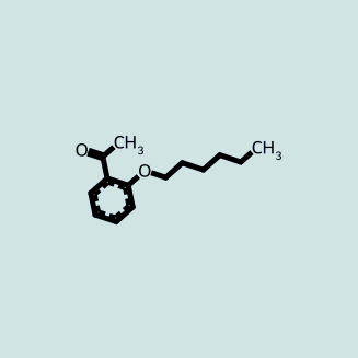 CCCCCCOc1ccccc1C(C)=O